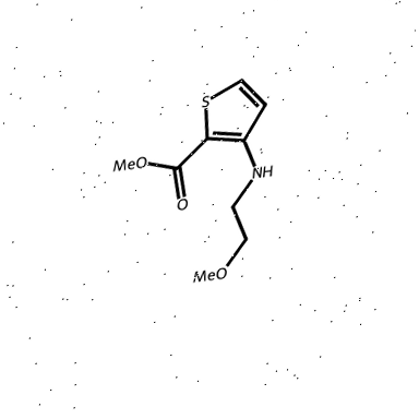 COCCNc1ccsc1C(=O)OC